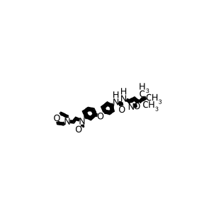 CC(C)(C)c1cc(NC(=O)Nc2ccc(Oc3cccc(N(C=O)CCN4CCOCC4)c3)cc2)no1